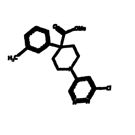 COC(=O)C1(c2cccc(C)c2)CCN(c2cnnc(Cl)c2)CC1